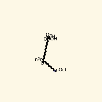 CCCCCCCC/C=C\CCCCCCCC(=O)C(CCC)CCCCCCCCCCCC(=O)C(O)(CO)CO